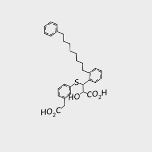 O=C(O)Cc1cccc(SC(c2ccccc2CCCCCCCCc2ccccc2)C(O)C(=O)O)c1